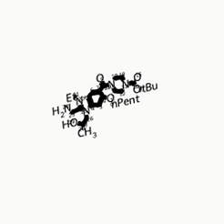 CCCCCOc1cc2c(cc1C(=O)N1CCN(C(=O)OC(C)(C)C)CC1)[n+](CC)c(CN)n2C[C@H](C)O